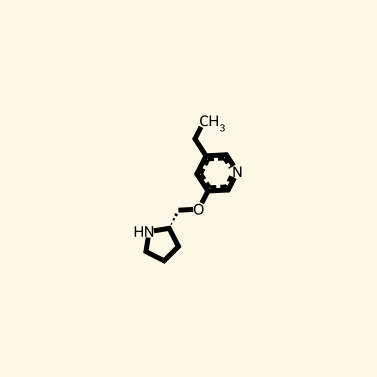 CCc1cncc(OC[C@@H]2CCCN2)c1